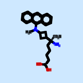 CN(c1c2ccccc2cc2ccccc12)C1CC([C@@](N)(CCCCB(O)O)C(=O)O)C1